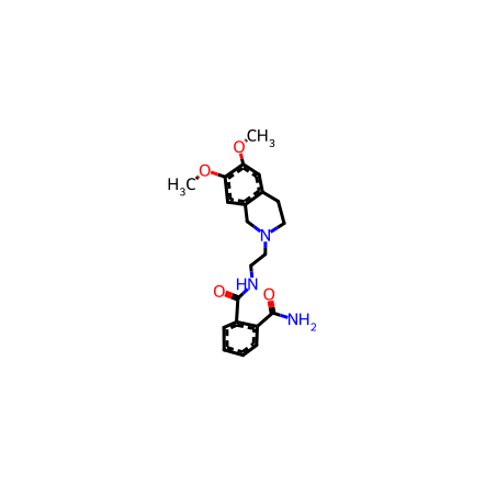 COc1cc2c(cc1OC)CN(CCNC(=O)c1ccccc1C(N)=O)CC2